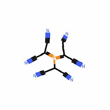 N#CC(C#N)=P(=C(C#N)C#N)C(C#N)C#N